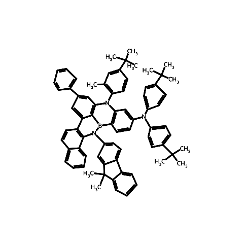 Cc1cc(C(C)(C)C)ccc1N1c2cc(N(c3ccc(C(C)(C)C)cc3)c3ccc(C(C)(C)C)cc3)ccc2B2c3c(cc(-c4ccccc4)cc31)-c1ccc3ccccc3c1N2c1ccc2c(c1)C(C)(C)c1ccccc1-2